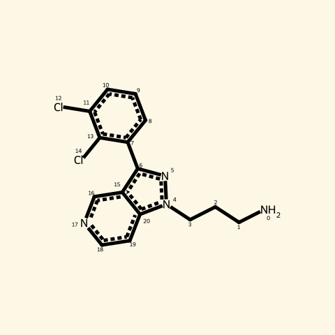 NCCCn1nc(-c2cccc(Cl)c2Cl)c2cnccc21